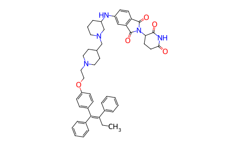 CCC(=C(c1ccccc1)c1ccc(OCCN2CCC(CN3CCCC(Nc4ccc5c(c4)C(=O)N(C4CCC(=O)NC4=O)C5=O)C3)CC2)cc1)c1ccccc1